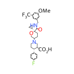 COc1cc(CNC(=O)[C@@]2(C3CC3)CC[C@@H](N3CC[C@@H](c4ccc(F)cc4)[C@H](C(=O)O)C3)CO2)cc(C(F)(F)F)c1